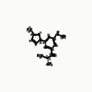 CC(C)Nc1nc(N[C@@H](C)C(F)(F)F)nc(-n2ccc(C(F)(F)F)n2)n1